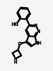 Oc1ccccc1-c1cc2c(OC3CNC3)c[nH]c2nn1